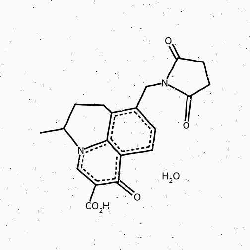 CC1CCc2c(CN3C(=O)CCC3=O)ccc3c(=O)c(C(=O)O)cn1c23.O